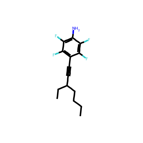 CCCCC(C#Cc1c(F)c(F)c(N)c(F)c1F)CC